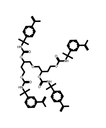 C=C(C)c1ccc(C(C)(C)NC(=O)OC(CCOC(=O)NC(C)(C)c2cccc(C(=C)C)c2)COCC(CCOC(=O)NC(C)(C)c2cccc(C(=C)C)c2)OC(=O)NC(C)(C)c2ccc(C(=C)C)cc2)cc1